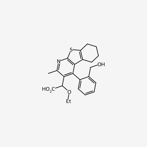 CCOC(C(=O)O)c1c(C)nc2sc3c(c2c1-c1ccccc1CO)CCCC3